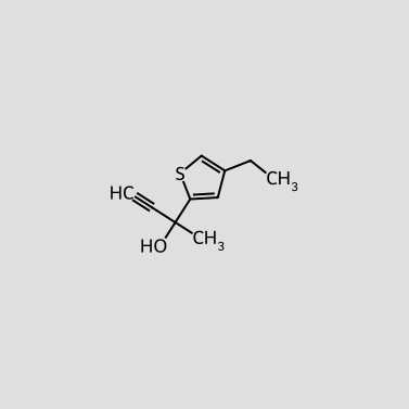 C#CC(C)(O)c1cc(CC)cs1